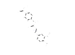 CCc1ccc(/C=C/C(=O)Nc2ccc(C(=O)O)cc2)cc1OC